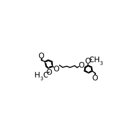 COc1cc(C=O)ccc1OCCCCCCOc1ccc(C=O)cc1OC